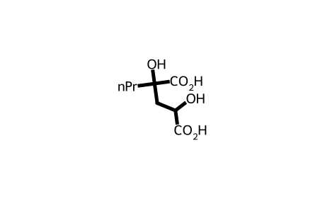 CCCC(O)(CC(O)C(=O)O)C(=O)O